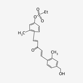 CCS(=O)(=O)Oc1ccc(/C=C/C(=O)/C=C/c2ccc(CO)cc2C)c(C)c1